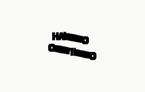 [O]=[AlH].[O]=[Ti]=[O]